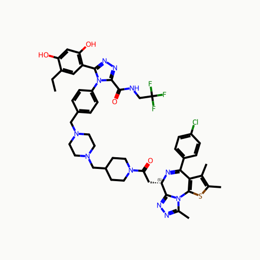 CCc1cc(-c2nnc(C(=O)NCC(F)(F)F)n2-c2ccc(CN3CCN(CC4CCN(C(=O)C[C@@H]5N=C(c6ccc(Cl)cc6)c6c(sc(C)c6C)-n6c(C)nnc65)CC4)CC3)cc2)c(O)cc1O